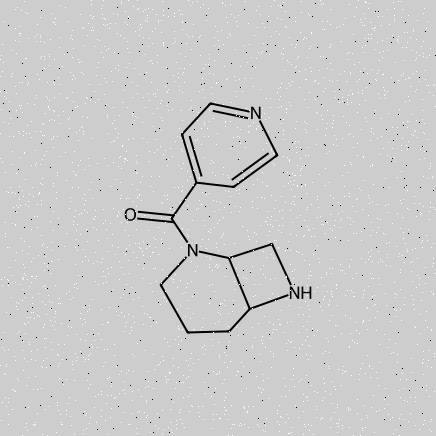 O=C(c1ccncc1)N1CCCC2NCC21